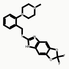 CN1CCN(c2ccccc2CSc2nc3cc4c(cc3[nH]2)OC(F)(F)O4)CC1